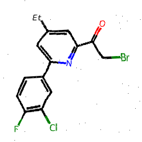 CCc1cc(C(=O)CBr)nc(-c2ccc(F)c(Cl)c2)c1